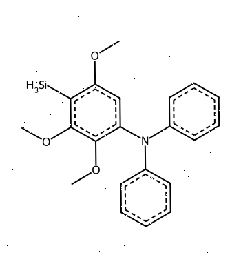 COc1cc(N(c2ccccc2)c2ccccc2)c(OC)c(OC)c1[SiH3]